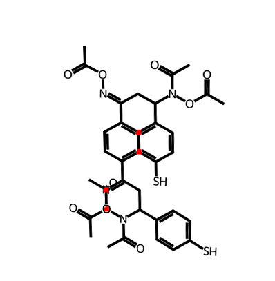 CC(=O)O/N=C(\CC(c1ccc(S)cc1)N(OC(C)=O)C(C)=O)c1ccc(/C(CC(c2ccc(S)cc2)N(OC(C)=O)C(C)=O)=N/OC(C)=O)cc1